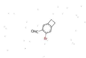 O=Cc1cc2c(cc1Br)CC2